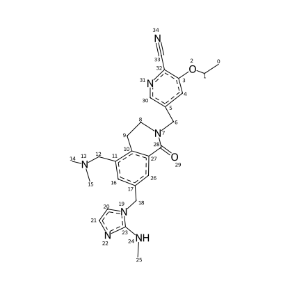 CCOc1cc(CN2CCc3c(CN(C)C)cc(Cn4ccnc4NC)cc3C2=O)cnc1C#N